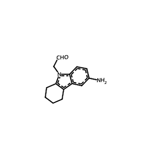 Nc1ccc2c(c1)c1c(n2CC=O)CCCC1